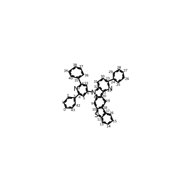 c1ccc(-c2cc(-n3c4cc5sc6ccccc6c5cc4c4nc(-c5ccccc5)ccc43)cc(-c3ccccc3)n2)cc1